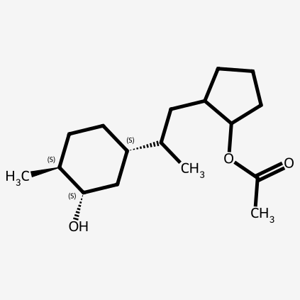 CC(=O)OC1CCCC1CC(C)[C@H]1CC[C@H](C)[C@@H](O)C1